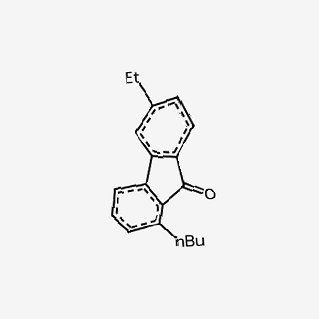 CCCCc1cccc2c1C(=O)c1ccc(CC)cc1-2